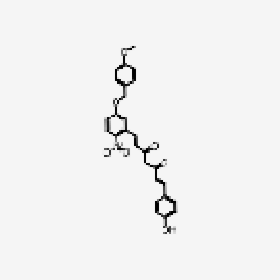 COc1ccc(COc2ccc([N+](=O)[O-])c(/C=C/C(=O)CC(=O)/C=C/c3ccc(O)cc3)c2)cc1